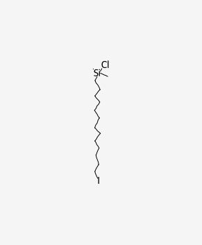 C[Si](C)(Cl)CCCCCCCCCCCCCI